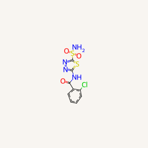 NS(=O)(=O)c1nnc(NC(=O)c2ccccc2Cl)s1